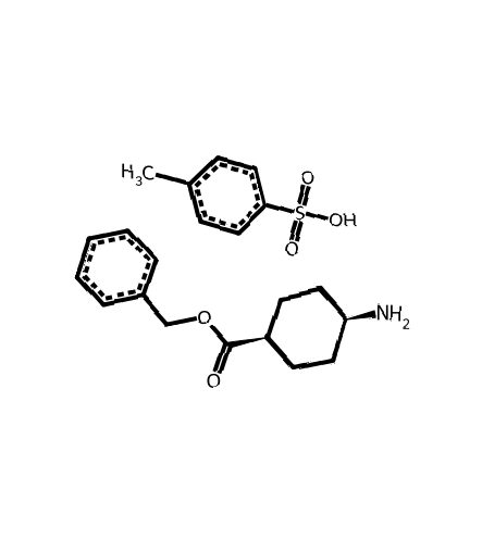 Cc1ccc(S(=O)(=O)O)cc1.N[C@H]1CC[C@@H](C(=O)OCc2ccccc2)CC1